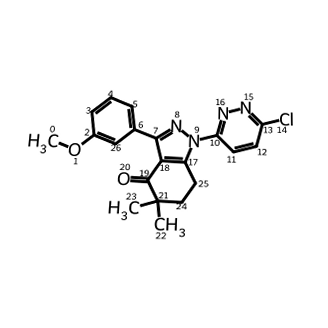 COc1cccc(-c2nn(-c3ccc(Cl)nn3)c3c2C(=O)C(C)(C)CC3)c1